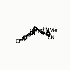 CNc1ccc(C#N)cc1N/C=C\C(=O)NCc1cccc(-c2ncc(OCC3CCN(CCCl)CC3)cn2)c1